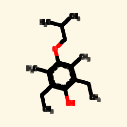 CCc1c(C)c(OCC(C)C)c(C)c(CC)c1O